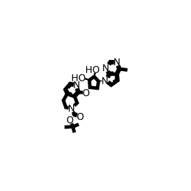 Cc1ncnc2c1ccn2[C@@H]1C[C@H](Oc2nccc3c2CN(C(=O)OC(C)(C)C)CC3)[C@@H](O)[C@H]1O